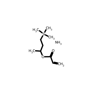 C=CC(=O)OC(C)CC[Si](C)(C)C.N